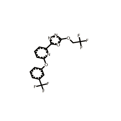 FC(F)(F)COc1nnc(-c2cccc(Oc3cccc(C(F)(F)F)c3)n2)o1